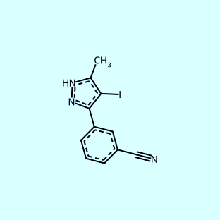 Cc1[nH]nc(-c2cccc(C#N)c2)c1I